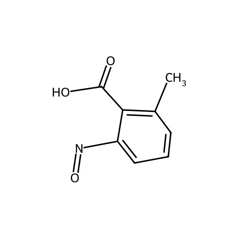 Cc1cccc(N=O)c1C(=O)O